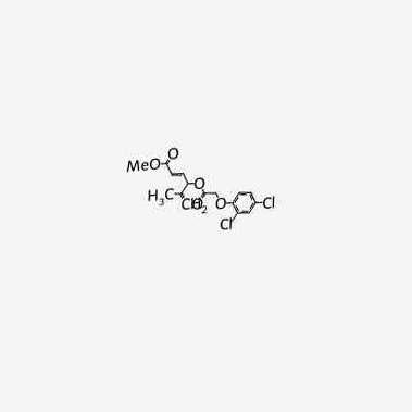 C=C(C)C(/C=C/C(=O)OC)OC(=O)COc1ccc(Cl)cc1Cl